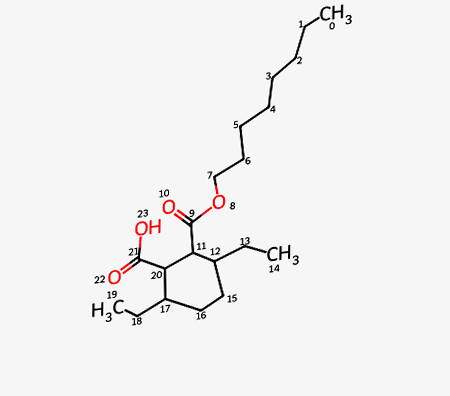 CCCCCCCCOC(=O)C1C(CC)CCC(CC)C1C(=O)O